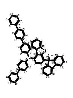 CC1(c2ccc(N(c3ccc(-c4ccccc4)cc3)c3ccc(-c4ccc(-c5ccccc5)cc4)cc3)c3c2oc2ccccc23)c2ccccc2-c2ccccc21